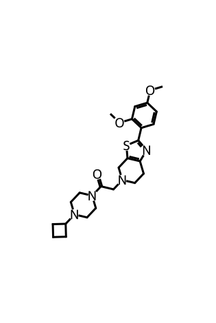 COc1ccc(-c2nc3c(s2)CN(CC(=O)N2CCN(C4CCC4)CC2)CC3)c(OC)c1